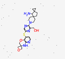 NC1C2(CCN(c3ncc(Sc4ccnc5c4OCC4(COC4)N5)nc3CO)CC2)CCC12CC2